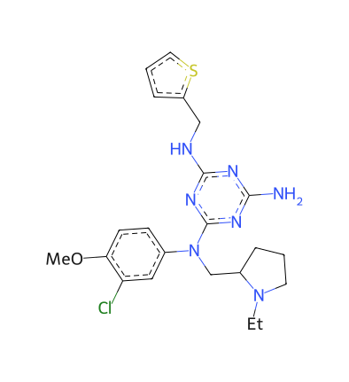 CCN1CCCC1CN(c1ccc(OC)c(Cl)c1)c1nc(N)nc(NCc2cccs2)n1